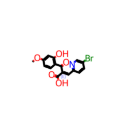 COc1ccc(C(=O)/C(=C\c2ccc(Br)cn2)C(=O)O)c(O)c1